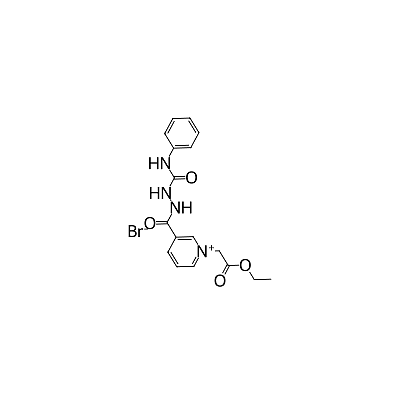 CCOC(=O)C[n+]1cccc(C(=O)NNC(=O)Nc2ccccc2)c1.[Br-]